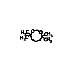 CC1(C)CCCC(C)(C)OCO1